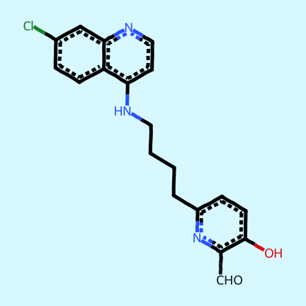 O=Cc1nc(CCCCNc2ccnc3cc(Cl)ccc23)ccc1O